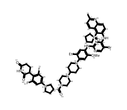 CCc1cc(Nc2ncc(Br)c(Nc3ccc4nc(C)ccc4c3P3(=O)CCCC3)n2)c(OC)cc1N1CCC(N2CCN(C(=O)[C@@H]3CCN(c4cc(F)c(C5CCC(=O)NC5=O)c(F)c4)C3)CC2)CC1